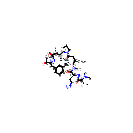 CC[C@H](C)[C@@H]([C@@H](CC(=O)N1CCC[C@H]1[C@H](OC)[C@@H](C)C(=O)NC(Cc1ccccc1)C(=O)OC)OC)N(CC)C(=O)[C@H](CCN)NC(=O)[C@H](C(C)C)N(C)C